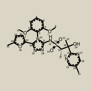 COc1cccc(OC)c1-n1c(NS(=O)(=O)[C@@H](C)C(C)(O)c2ncc(C)cn2)nnc1-c1ccc(C)o1